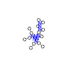 c1ccc(-c2ccc3c(c2)c2cc(-c4ccccc4)ccc2n3-c2nc(-n3c4ccc(-c5ccccc5)cc4c4cc(-c5ccccc5)ccc43)nc(-n3c4ccccc4c4c5c6ccccc6n(-c6cccc(-n7c8ccccc8c8ccccc87)n6)c5ccc43)n2)cc1